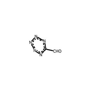 O=Cc1nnnnn1